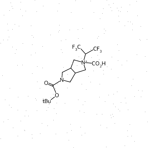 CC(C)(C)OC(=O)N1CC2C[N+](C(=O)O)(C(C(F)(F)F)C(F)(F)F)CC2C1